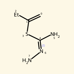 C=C(CC)S/C(N)=N\N